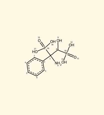 NC(c1ccccc1)(C(O)P(=O)(O)O)P(=O)(O)O